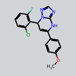 COc1ccc(C2=CC(c3c(F)cccc3Cl)n3ncnc3N2)cc1